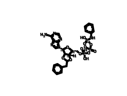 Nc1ncnc2c1ncn2[C@@H]1O[C@H](COP(=O)(O)OP(=O)(O)OP(=O)(O)Nc2ccccc2)[C@@H]2OC(Cc3ccccc3)OC21